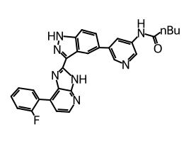 CCCCC(=O)Nc1cncc(-c2ccc3[nH]nc(-c4nc5c(-c6ccccc6F)ccnc5[nH]4)c3c2)c1